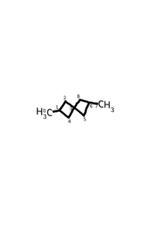 CC1CC2(C1)CC(C)C2